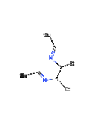 CCC(/N=C/C(C)(C)C)C(CC)/N=C/C(C)(C)C